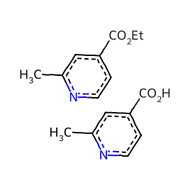 CCOC(=O)c1ccnc(C)c1.Cc1cc(C(=O)O)ccn1